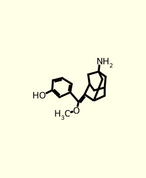 COC(=C1C2CC3CC1CC(N)(C3)C2)c1cccc(O)c1